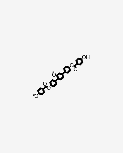 COc1ccc(C(=O)Oc2ccc(-c3ccc(-c4ccc(OC(=O)c5ccc(O)cc5)cc4)cc3OC)cc2)cc1